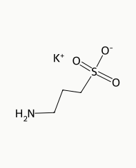 NCCCS(=O)(=O)[O-].[K+]